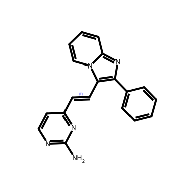 Nc1nccc(/C=C/c2c(-c3ccccc3)nc3ccccn23)n1